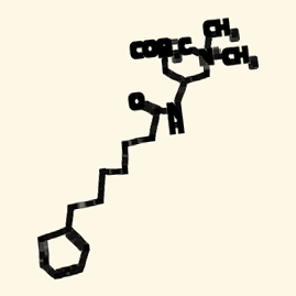 C[N+](C)(C)CC(CC(=O)[O-])NC(=O)CCCCCCc1ccccc1